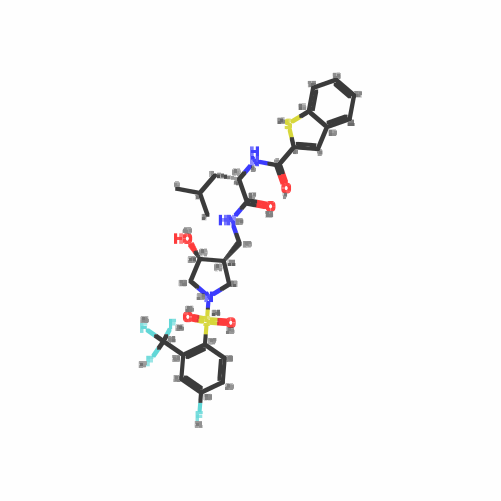 CC(C)C[C@H](NC(=O)c1cc2ccccc2s1)C(=O)NC[C@H]1CN(S(=O)(=O)c2ccc(F)cc2C(F)(F)F)C[C@H]1O